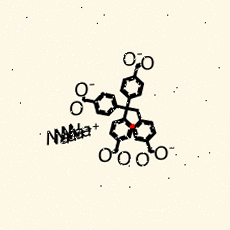 O=C([O-])c1ccc(CC(c2ccc(C(=O)[O-])cc2)(c2ccc(C(=O)[O-])cc2)c2ccc(C(=O)[O-])cc2)cc1.[Na+].[Na+].[Na+].[Na+]